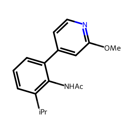 COc1cc(-c2cccc(C(C)C)c2NC(C)=O)ccn1